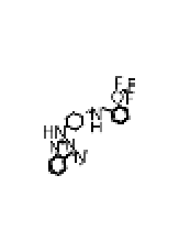 CN(C)c1nc(N[C@H]2CC[C@@H](CNCc3ccccc3OC(F)(F)F)CC2)nc2ccccc12